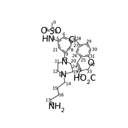 CS(=O)(=O)Nc1cccc(N2CCN(CCCCN)CC2)c1.O=C(O)C1=Cc2cc(Cl)ccc2OC1